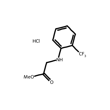 COC(=O)CNc1ccccc1C(F)(F)F.Cl